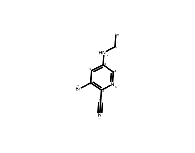 [CH2]CNc1cnc(C#N)c(Br)c1